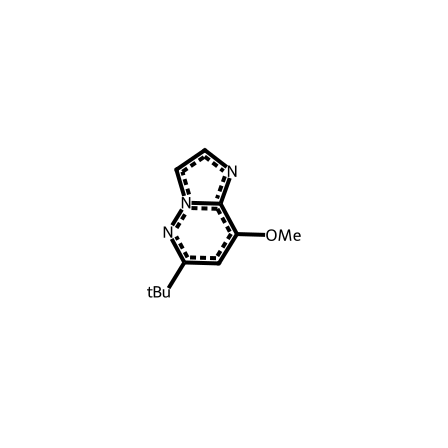 COc1cc(C(C)(C)C)nn2ccnc12